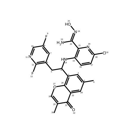 Cc1cc(C(Cc2cc(F)cnc2F)Nc2ccc(Cl)nc2C(N)=NO)c2occ(C)c(=O)c2c1